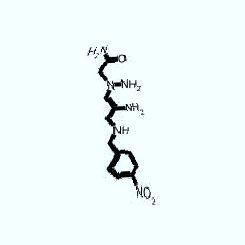 NC(=O)CN(N)/C=C(\N)CNCc1ccc([N+](=O)[O-])cc1